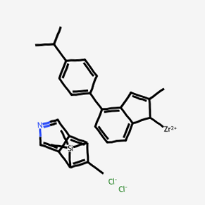 CC1=C2C3=CN=CC3=C1[Si]2(C)C.CC1=Cc2c(-c3ccc(C(C)C)cc3)cccc2[CH]1[Zr+2].[Cl-].[Cl-]